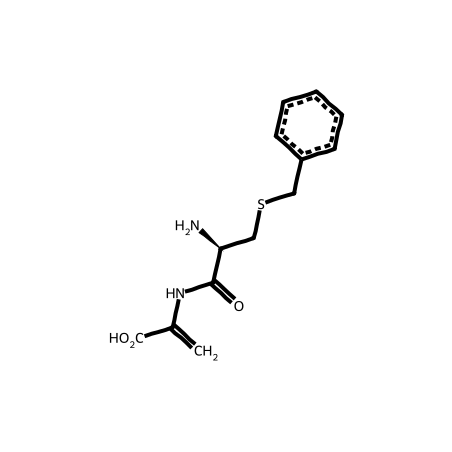 C=C(NC(=O)[C@@H](N)CSCc1ccccc1)C(=O)O